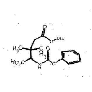 CC(C)(C)OC(=O)CC(C)(C)C(NC(=O)Oc1ccccc1)C(=O)O